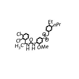 CCCc1cc(CS(=O)(=O)c2ccc(NC(=O)NC(C)c3cccc(Cl)c3Cl)c(OC)c2)ccc1CC